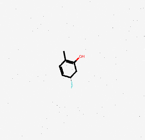 CC1=C(O)C[C@H](F)C=C1